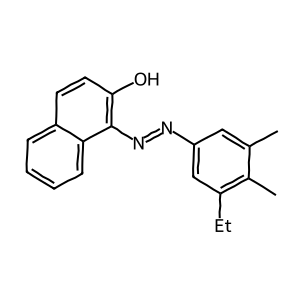 CCc1cc(/N=N/c2c(O)ccc3ccccc23)cc(C)c1C